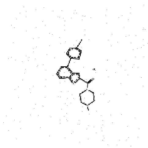 CN1CCN(C(=O)c2cc3c(-c4ccc(F)cc4)cccc3s2)CC1.Cl